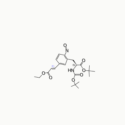 CCOC(=O)/C=C/c1ccc(N=O)c(C[C@H](NC(=O)OC(C)(C)C)C(=O)OC(C)(C)C)c1